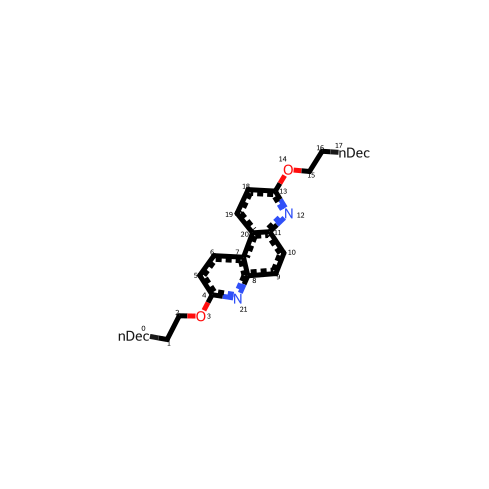 CCCCCCCCCCCCOc1ccc2c(ccc3nc(OCCCCCCCCCCCC)ccc32)n1